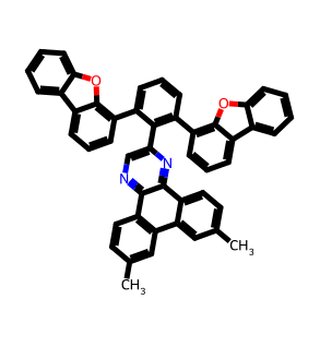 Cc1ccc2c(c1)c1cc(C)ccc1c1nc(-c3c(-c4cccc5c4oc4ccccc45)cccc3-c3cccc4c3oc3ccccc34)cnc21